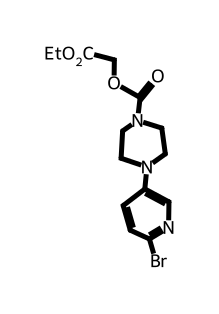 CCOC(=O)COC(=O)N1CCN(c2ccc(Br)nc2)CC1